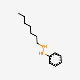 CCCCCCCPPc1ccccc1